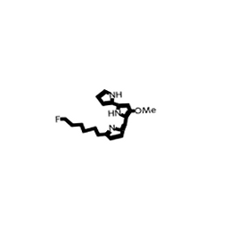 COc1cc(-c2ccc[nH]2)[nH]c1C=C1C=CC(CCCCCCF)=N1